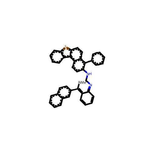 CN/C(=C1/C=CC=C/C1=N/CNc1ccc2c(ccc3sc4ccccc4c32)c1-c1ccccc1)c1ccc2ccccc2c1